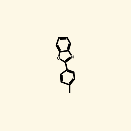 [CH2]c1ccc(-c2nc3ccccc3o2)cc1